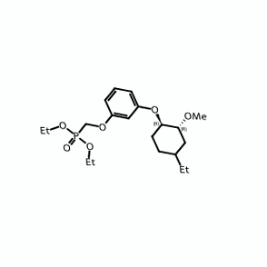 CCOP(=O)(COc1cccc(O[C@@H]2CCC(CC)C[C@H]2OC)c1)OCC